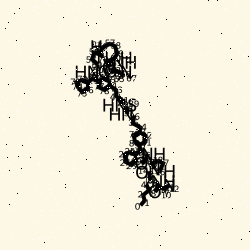 CCCCC[C@H](NC(=O)[C@@H](C)NC)C(=O)N1CCC[C@H]1C(=O)N[C@@H](c1ccccc1)c1ccc(CCCNC(=S)NCCCc2ccc([C@@H](NC(=O)[C@@H]3CC[C@@H]4CCCC[C@H](NC(=O)[C@H](C)NC)C(=O)N43)c3ccccc3)cc2)cc1